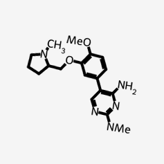 CNc1ncc(-c2ccc(OC)c(OCC3CCCN3C)c2)c(N)n1